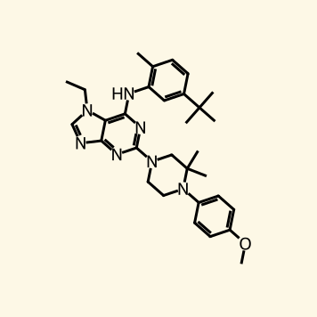 CCn1cnc2nc(N3CCN(c4ccc(OC)cc4)C(C)(C)C3)nc(Nc3cc(C(C)(C)C)ccc3C)c21